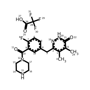 Cc1c(Cc2ccc(F)c(C(=O)N3CCNCC3)c2)n[nH]c(=O)c1C.O=C(O)C(F)(F)F